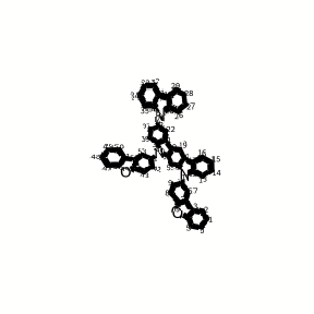 c1ccc2c(c1)oc1ccc(-n3c4ccccc4c4cc5c6cc(-n7c8ccccc8c8ccccc87)ccc6n(-c6ccc7oc8ccccc8c7c6)c5cc43)cc12